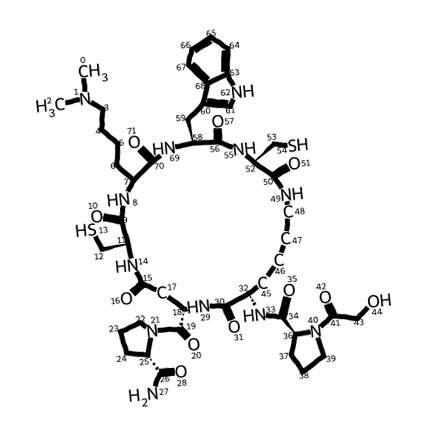 CN(C)CCCCC1NC(=O)[C@H](CS)NC(=O)C[C@@H](C(=O)N2CCC[C@H]2C(N)=O)NC(=O)[C@@H](NC(=O)[C@@H]2CCCN2C(=O)CO)CCCCNC(=O)[C@H](CS)NC(=O)[C@H](Cc2c[nH]c3ccccc23)NC1=O